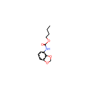 CCCCOC(=O)Nc1cccc2c1OCO2